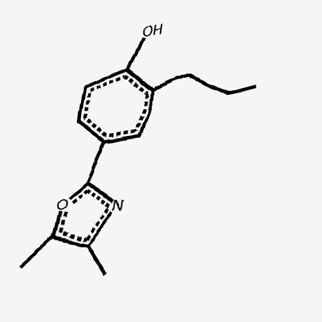 CCCc1cc(-c2nc(C)c(C)o2)ccc1O